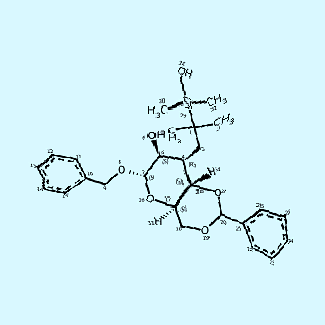 CC(C)(C[C@@H]1[C@H](O)[C@@H](OCc2ccccc2)O[C@@H]2COC(c3ccccc3)O[C@@H]12)[Si](C)(C)O